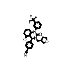 N#Cc1ccc(C2C3=C(CCCC3=O)N(c3cccc(C(F)(F)F)c3)C(=O)N2CC2CCOC2)cc1